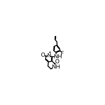 C=CCc1ccc(Nc2c3c(cc(=O)n2C)CCNC3=O)c(F)c1